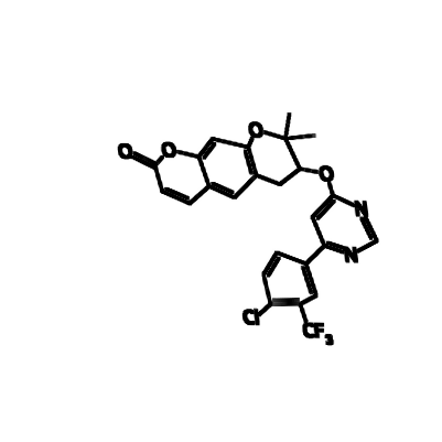 CC1(C)Oc2cc3oc(=O)ccc3cc2CC1Oc1cc(-c2ccc(Cl)c(C(F)(F)F)c2)ncn1